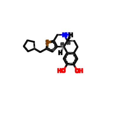 Oc1cc2c(cc1O)[C@H]1c3cc(CC4CCCC4)sc3CN[C@@H]1CC2